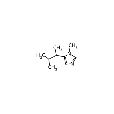 CC(C)C(C)c1cncn1C